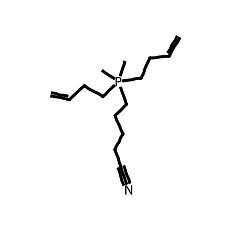 C=CCCP(C)(C)(CCC=C)CCCCC#N